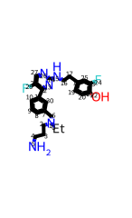 CCN(CCCN)Cc1cccc(-c2nc(NCCc3ccc(O)c(F)c3)ncc2F)c1